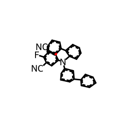 N#Cc1cc(N(c2cccc(-c3ccccc3)c2)c2ccccc2-c2ccccc2)cc(C#N)c1F